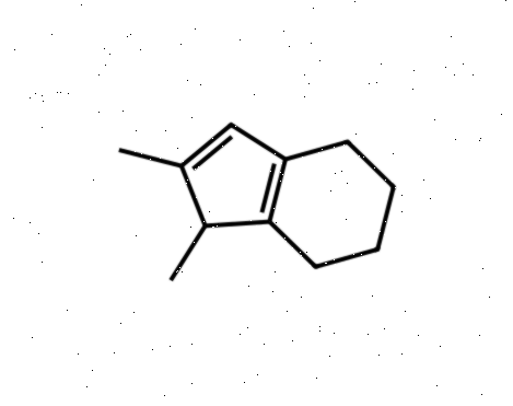 CC1=CC2=C(CCCC2)C1C